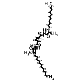 CCCCCCCCCCCCN[C@@H](C)C(=O)NNC(=O)c1ccc(C(=O)NNC(=O)[C@H](C)NCCCCCCCCCCCC)o1